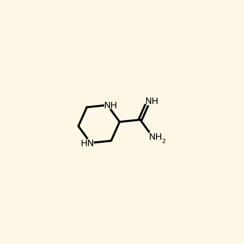 N=C(N)C1CNCCN1